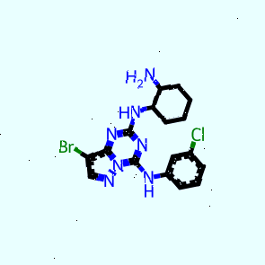 NC1CCCCC1Nc1nc(Nc2cccc(Cl)c2)n2ncc(Br)c2n1